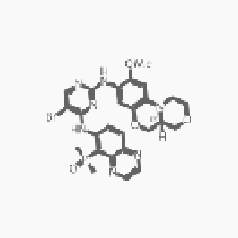 COc1cc2c(cc1Nc1ncc(Br)c(Nc3ccc4nccnc4c3P(C)(C)=O)n1)OC[C@H]1COCCN21